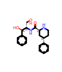 O=C(N[C@@H](CO)[C@H](O)c1ccccc1)[C@@H]1C[C@@H](c2ccccc2)CCN1